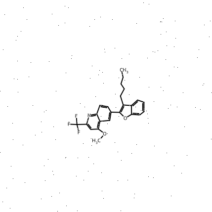 CCCCCc1c(-c2ccc3nc(C(F)(F)F)cc(OC)c3c2)oc2ccccc12